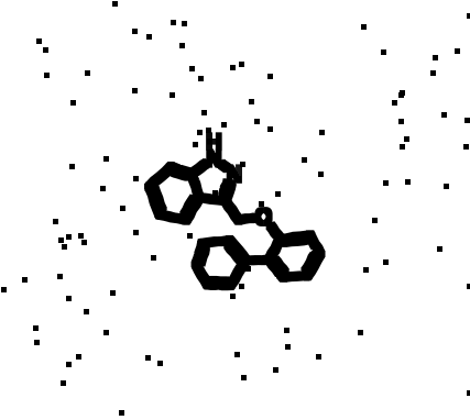 c1ccc(-c2ccccc2OCc2n[nH]c3ccccc23)cc1